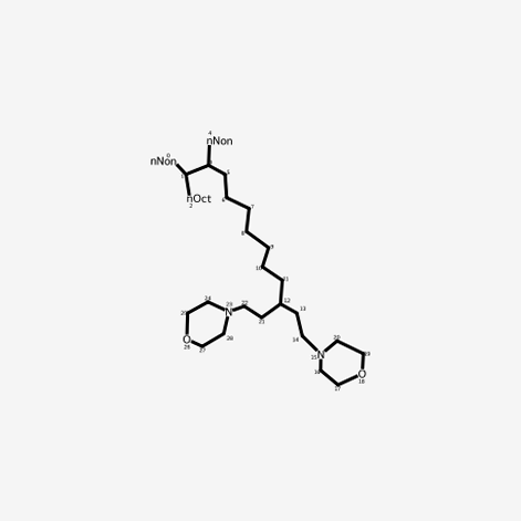 CCCCCCCCCC(CCCCCCCC)C(CCCCCCCCC)CCCCCCCC(CCN1CCOCC1)CCN1CCOCC1